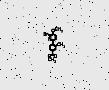 COC(=O)c1ccc(-c2ccc(OC)c(Br)n2)c(C)c1